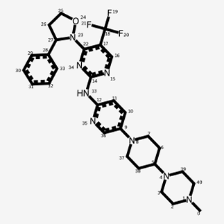 CN1CCN(C2CCN(c3ccc(Nc4ncc(C(F)(F)F)c(N5OCCC5c5ccccc5)n4)nc3)CC2)CC1